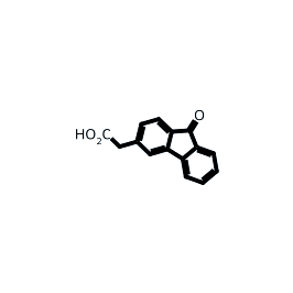 O=C(O)Cc1ccc2c(c1)-c1ccccc1C2=O